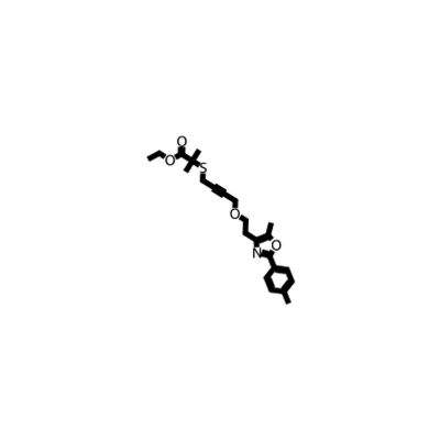 CCOC(=O)C(C)(C)SCC#CCOCCc1nc(-c2ccc(C)cc2)oc1C